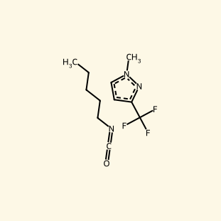 CCCCCN=C=O.Cn1ccc(C(F)(F)F)n1